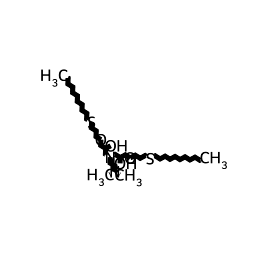 CCCCCCCCCCCSCCCOCC(O)CN(CCN(C)C)CC(O)COCCCSCCCCCCCCCCC